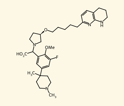 COc1c(F)cc(C2(C)CCN(C)CC2)cc1C(C(=O)O)N1CC[C@@H](OCCCCCc2ccc3c(n2)NCCC3)C1